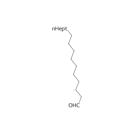 CCCCCCCCCCCCCC[CH]CC=O